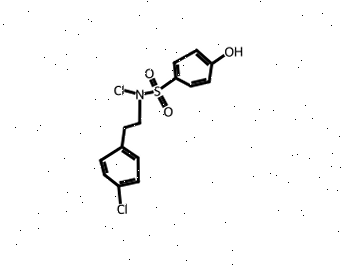 O=S(=O)(c1ccc(O)cc1)N(Cl)CCc1ccc(Cl)cc1